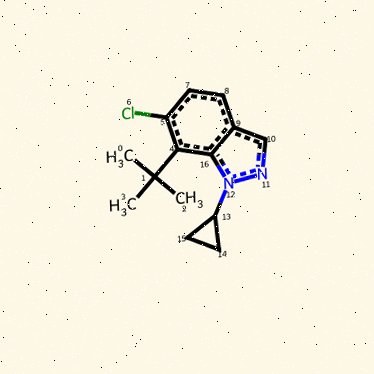 CC(C)(C)c1c(Cl)ccc2cnn(C3CC3)c12